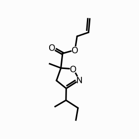 C=CCOC(=O)C1(C)CC(C(C)CC)=NO1